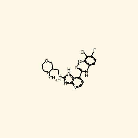 CN1CCOCC1CNc1nc2nccc(C(=NO)Nc3ccc(F)c(Cl)c3)c2[nH]1